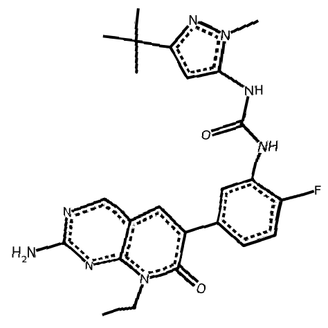 CCn1c(=O)c(-c2ccc(F)c(NC(=O)Nc3cc(C(C)(C)C)nn3C)c2)cc2cnc(N)nc21